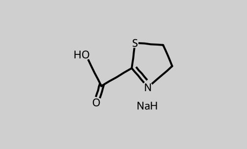 O=C(O)C1=NCCS1.[NaH]